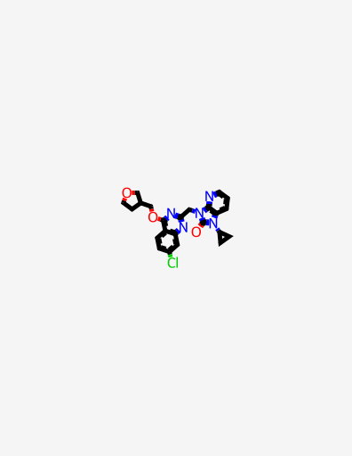 O=c1n(Cc2nc(OCC3CCOC3)c3ccc(Cl)cc3n2)c2ncccc2n1C1CC1